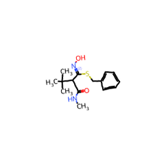 CNC(=O)C(/C(=N/O)SCc1ccccc1)C(C)(C)C